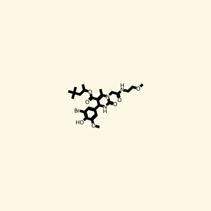 COCCNC(=O)CN1C(=O)NC(c2cc(Br)c(O)c(OC)c2)C(C(=O)OC(C)CC(C)(C)C)=C1C